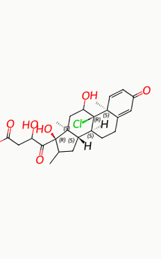 CC1C[C@H]2[C@@H]3CCC4=CC(=O)C=C[C@]4(C)[C@@]3(Cl)C(O)C[C@]2(C)[C@@]1(O)C(=O)C(O)CC(=O)O